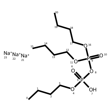 CCCCOP(=O)(O)OP(=O)(OCCCC)OCCCC.[Na+].[Na+].[Na+]